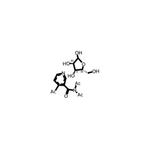 CC(=O)c1ccncc1C(=O)N(C(C)=O)C(C)=O.OC[C@H]1OC(O)[C@H](O)[C@@H]1O